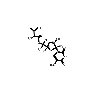 BC(B)(OC(=O)[C@@H](N)C(C)C)[C@]1(F)C[C@@H](O)[C@](B)(n2cc(C)c(=O)[nH]c2=O)O1